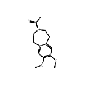 COc1cc2c(cc1OC)CCN(C(C)=O)CC2